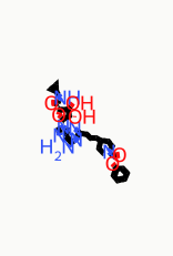 Nc1nc(CCCC2CCN(C(=O)Oc3ccccc3)CC2)nc2c1ncn2[C@@H]1O[C@H](C(=O)NC2CC2)C(O)[C@@H]1O